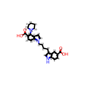 O=C(O)c1ccc2[nH]cc(CCCCn3ccc4c(N5CCCCC5)c(C(=O)O)ccc43)c2c1